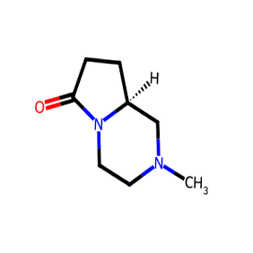 CN1CCN2C(=O)CC[C@H]2C1